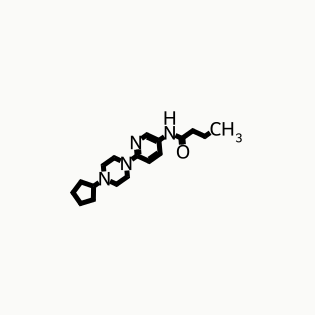 CCCC(=O)Nc1ccc(N2CCN(C3CCCC3)CC2)nc1